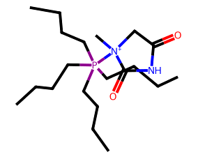 CCCCP(CCCC)(CCCC)(CCCC)[N+]1(C)CC(=O)NC1=O